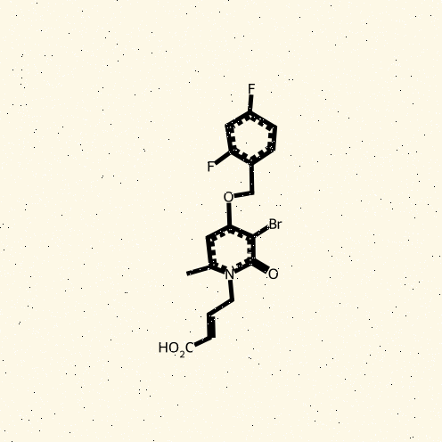 Cc1cc(OCc2ccc(F)cc2F)c(Br)c(=O)n1CC=CC(=O)O